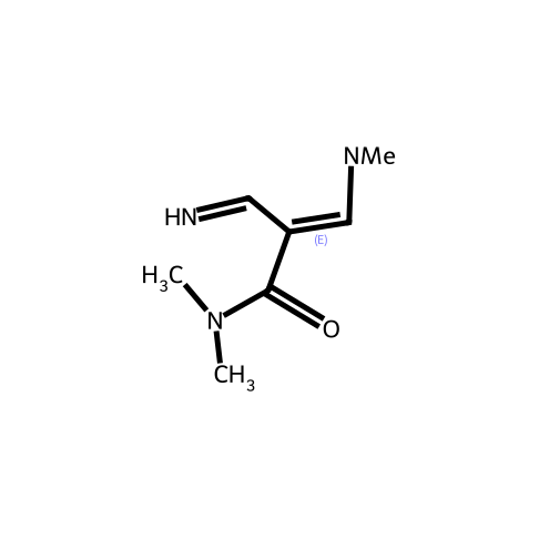 CN/C=C(\C=N)C(=O)N(C)C